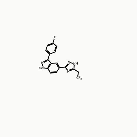 Fc1ccc(-c2n[nH]c3ccc(-c4n[nH]c(CC(F)(F)F)n4)cc23)cc1